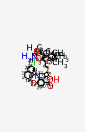 CCC(CCC(/C=C/[C@@H]1CC[C@H]1CN1C[C@@]2(CCCc3cc(Cl)ccc32)COc2ccc(C(=O)O)cc21)O[Si](C(C)C)(C(C)C)C(C)C)S(N)(=O)=O